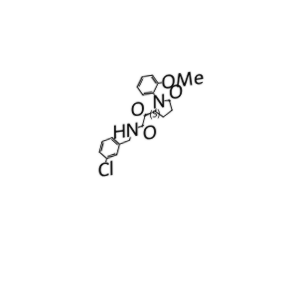 COc1ccccc1N1C(=O)CC[C@H]1C(=O)C(=O)NCc1cccc(Cl)c1